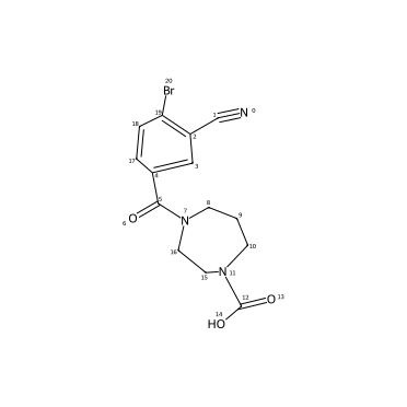 N#Cc1cc(C(=O)N2CCCN(C(=O)O)CC2)ccc1Br